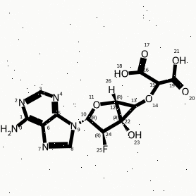 Nc1ncnc2c1ncn2[C@@H]1O[C@@H]2C(OC(C(=O)O)C(=O)O)[C@]2(O)[C@H]1F